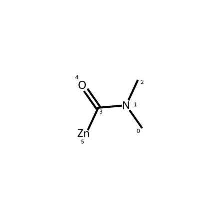 CN(C)[C](=O)[Zn]